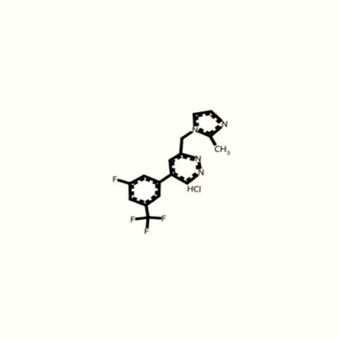 Cc1nccn1Cc1cc(-c2cc(F)cc(C(F)(F)F)c2)cnn1.Cl